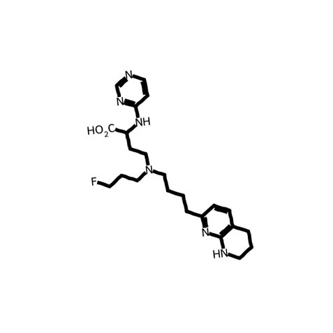 O=C(O)C(CCN(CCCF)CCCCc1ccc2c(n1)NCCC2)Nc1ccncn1